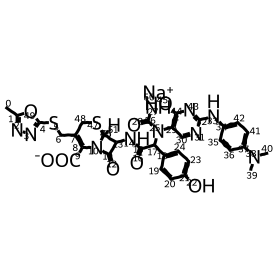 Cc1nnc(SCC2=C(C(=O)[O-])N3C(=O)C(NC(=O)C(c4ccc(O)cc4)N(C(N)=O)c4cnc(Nc5ccc(N(C)C)cc5)nc4O)[C@H]3SC2)o1.[Na+]